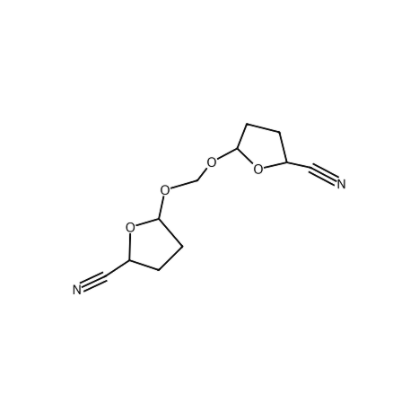 N#CC1CCC(OCOC2CCC(C#N)O2)O1